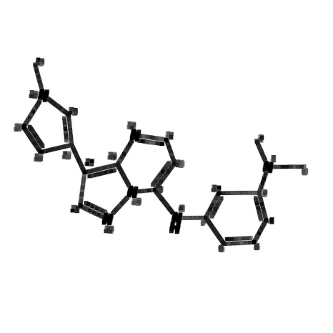 CN(C)c1cccc(Nc2ccnc3c(-c4ccn(C)c4)cnn23)c1